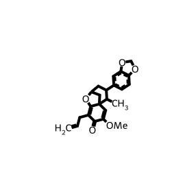 C=CCC1=C2OC3CC(c4ccc5c(c4)OCO5)C(C)C2(C=C(OC)C1=O)C3